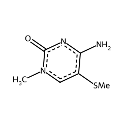 CSc1cn(C)c(=O)nc1N